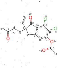 C=CC1(CCC(C)=O)Cc2cc(OC(C)=O)c(Cl)c(Cl)c2C1=O